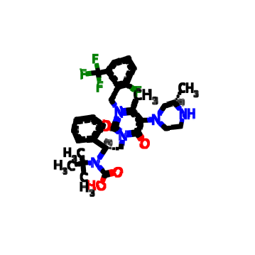 Cc1c(N2CCN[C@@H](C)C2)c(=O)n(C[C@@H](c2ccccc2)N(C(=O)O)C(C)(C)C)c(=O)n1Cc1c(F)cccc1C(F)(F)F